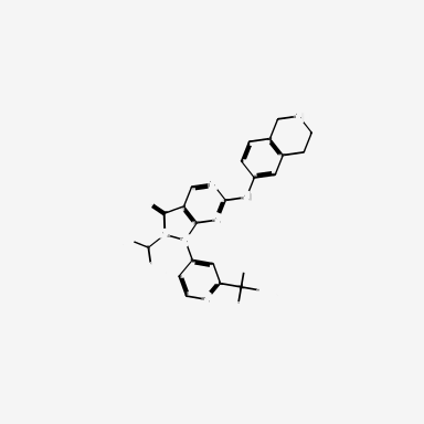 CC(C)n1c(=O)c2cnc(Nc3ccc4c(c3)CCNC4)nc2n1-c1ccnc(C(C)(F)F)c1